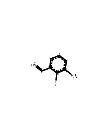 N=Cc1cccc(N)c1F